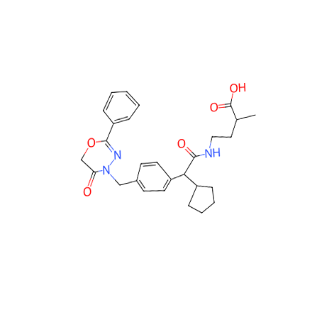 CC(CCNC(=O)C(c1ccc(CN2N=C(c3ccccc3)OCC2=O)cc1)C1CCCC1)C(=O)O